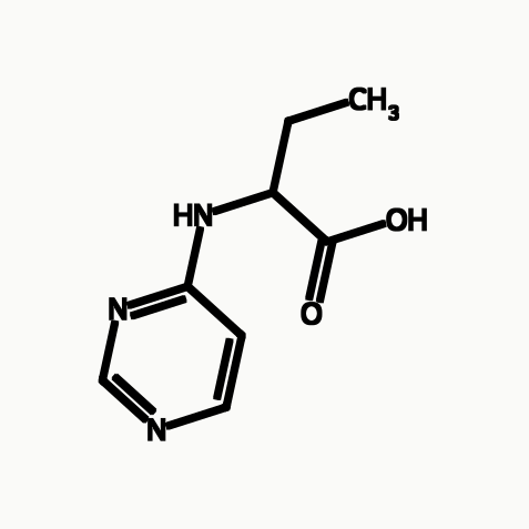 CCC(Nc1ccncn1)C(=O)O